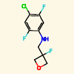 Fc1cc(NCC2(F)COC2)c(F)cc1Cl